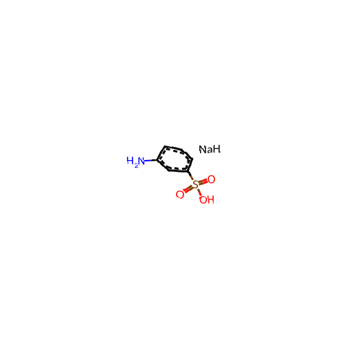 Nc1cccc(S(=O)(=O)O)c1.[NaH]